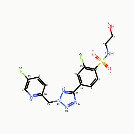 O=S(=O)(NCCO)c1ccc(-c2nnn(Cc3ccc(F)cn3)n2)cc1F